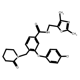 Cc1nc(C)c(CNC(=O)c2ccc(CN3CCCCC3=O)c(Oc3ccc(Cl)cc3)c2)o1